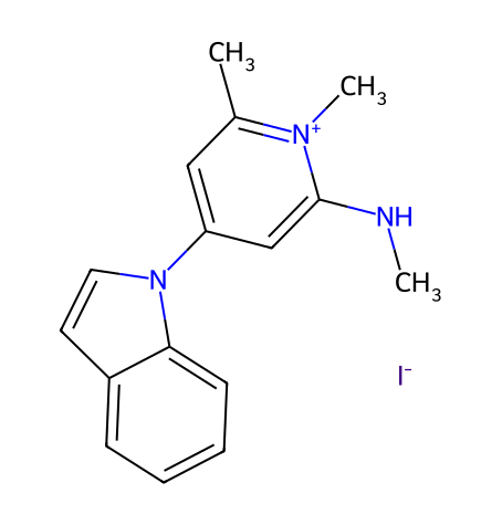 CNc1cc(-n2ccc3ccccc32)cc(C)[n+]1C.[I-]